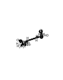 CC(=N)N1c2sc(C)c(C)c2C(c2ccc(Cl)cc2)=N[C@@H](CC(=O)NCCCCCCCCNC(=O)CNc2cccc(C=O)c2CNC2CCCOOC2)C1N